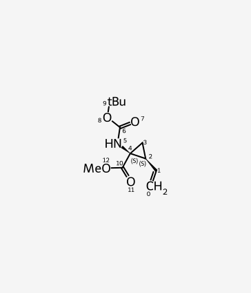 C=C[C@@H]1C[C@@]1(NC(=O)OC(C)(C)C)C(=O)OC